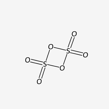 O=S1(=O)OS(=O)(=O)O1